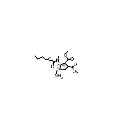 CCCCOC(=O)N(C)[C@H]1[C@@H](CN)CC(C(=O)OC)[C@@H]1C(=O)OC